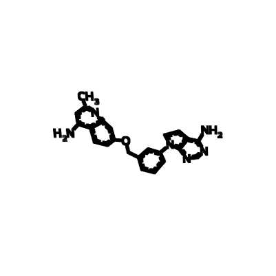 Cc1cc(N)c2ccc(OCc3cccc(-n4ccc5c(N)ncnc54)c3)cc2n1